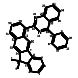 CC1(C)c2ccccc2-c2cc3c(-c4nc(-c5ccccc5)c5ccccc5n4)cccc3cc21